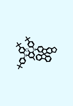 Cc1cc(N(c2ccc(C(C)(C)C)cc2)c2ccc(C(C)(C)C)cc2)c(Cl)c(N(c2ccc(C(C)(C)C)cc2)c2ccc3c(c2)C2(c4ccccc4-c4ccccc42)c2cc4c(cc2-3)CCC4)c1